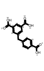 O=C(O)c1ccc(Cc2cc(C(=O)O)cc(C(=O)O)c2)cc1